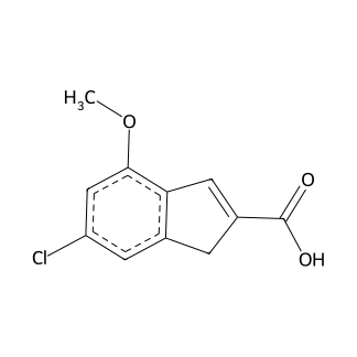 COc1cc(Cl)cc2c1C=C(C(=O)O)C2